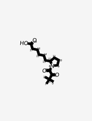 CC(C)(C)C(=O)C(=O)N1CCCC1CCCCCC(=O)O